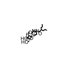 CCCC(CCC)C(=O)Nc1ccn(C2O[C@H](CO)[C@@H](O)C2(F)F)c(=O)n1